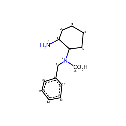 NC1CCCCC1N(Cc1ccccc1)C(=O)O